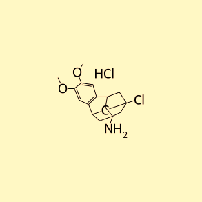 COc1cc2c(cc1OC)C1CC3(N)CC2CC(Cl)(C1)C3.Cl